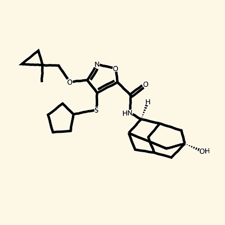 CC1(COc2noc(C(=O)N[C@H]3C4CC5CC3C[C@](O)(C5)C4)c2SC2CCCC2)CC1